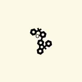 CC1(C)c2ccccc2Oc2c(-c3ccc4c(c3)C(C)(c3ccccc3)c3ccccc3-4)cccc21